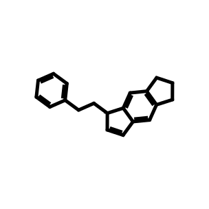 C1=Cc2cc3c(cc2[C]1CCc1ccccc1)CCC3